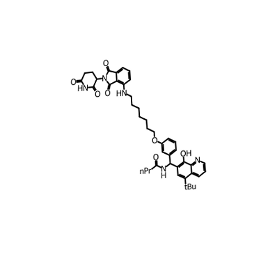 CCCC(=O)NC(c1cccc(OCCCCCCCNc2cccc3c2C(=O)N(C2CCC(=O)NC2=O)C3=O)c1)c1cc(C(C)(C)C)c2cccnc2c1O